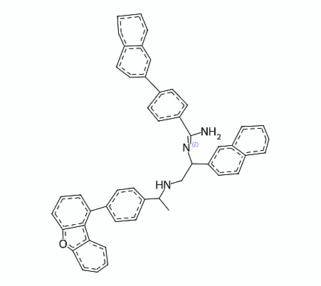 CC(NCC(/N=C(\N)c1ccc(-c2ccc3ccccc3c2)cc1)c1ccc2ccccc2c1)c1ccc(-c2cccc3oc4ccccc4c23)cc1